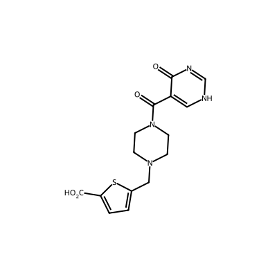 O=C(O)c1ccc(CN2CCN(C(=O)c3c[nH]cnc3=O)CC2)s1